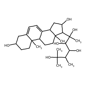 CC(C(O)C(O)C(C)(O)C1C(O)CC2C3=CC=C4CC(O)CCC4(C)C3CCC21C)C(C)(C)O